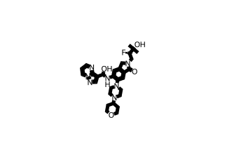 CC(C)(O)[C@H](F)CN1Cc2cc(NC(O)c3cnn4cccnc34)c(N3CCN(C4CCOCC4)CC3)cc2C1=O